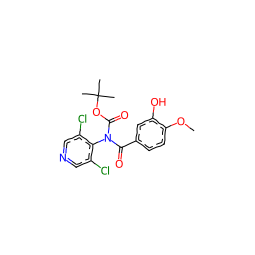 COc1ccc(C(=O)N(C(=O)OC(C)(C)C)c2c(Cl)cncc2Cl)cc1O